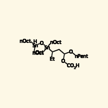 CCCCCCC[CH2][SnH]([CH2]CCCCCCC)[O][Sn]([CH2]CCCCCCC)([CH2]CCCCCCC)[CH](CC)CC(OCCCCC)OC(=O)O